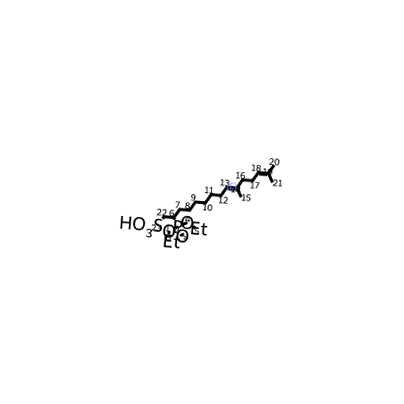 CCOP(=O)(OCC)C(CCCCCC/C=C(\C)CCC=C(C)C)CS(=O)(=O)O